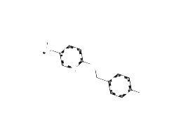 O=[N+]([O-])c1ccc(OCc2ccc(F)cc2)nc1